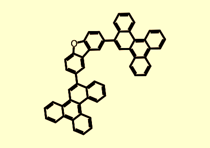 c1ccc2c(c1)c(-c1ccc3oc4ccc(-c5cc6c7ccccc7c7ccccc7c6c6ccccc56)cc4c3c1)cc1c3ccccc3c3ccccc3c21